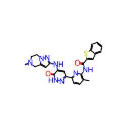 Cc1ccc(-c2cc(Nc3cc4n(n3)CCN(C)C4)c(=O)[nH]n2)nc1NC(=O)c1cc2ccccc2s1